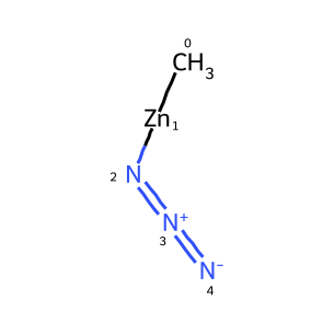 [CH3][Zn][N]=[N+]=[N-]